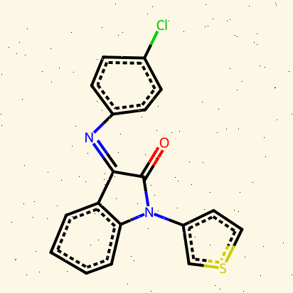 O=C1C(=Nc2ccc(Cl)cc2)c2ccccc2N1c1ccsc1